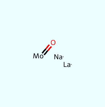 [La].[Na].[O]=[Mo]